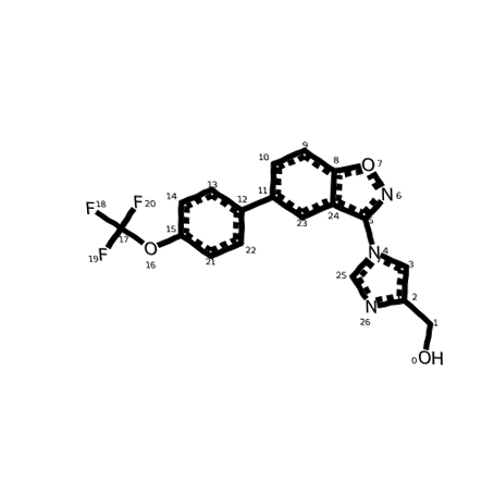 OCc1cn(-c2noc3ccc(-c4ccc(OC(F)(F)F)cc4)cc23)cn1